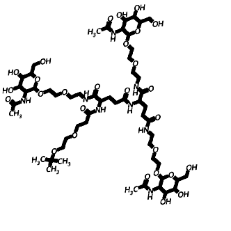 CC(=O)NC1C(OCCOCCNC(=O)CCC(NC(=O)CCC(NC(=O)CCOCCOC(C)(C)C)C(=O)NCCOCCOC2OC(CO)C(O)C(O)C2NC(C)=O)C(=O)NCCOCCOC2OC(CO)C(O)C(O)C2NC(C)=O)OC(CO)C(O)C1O